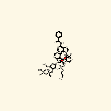 CC(C)[Si](O)(O[Si](O[C@H]1[C@@H](OP(=O)(OCCC#N)OC[C@@]23CO[C@@H]([C@H](n4cnc5c(NC(=O)c6ccccc6)ncnc54)O2)[C@@H]3O[PH](=O)O)[C@H](n2cc(F)c3c(=O)[nH]cnc32)O[C@@H]1CO)(C(C)C)C(C)C)C(C)C